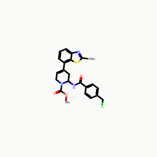 COc1nc2cccc(C3=CCN(C(=O)OC(C)(C)C)C(NC(=O)c4ccc(CCl)cc4)C3)c2s1